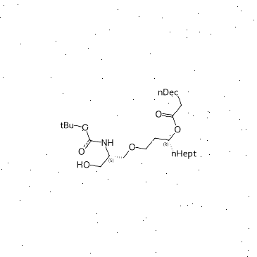 CCCCCCCCCCCC(=O)O[C@H](CCCCCCC)CCOC[C@H](CO)NC(=O)OC(C)(C)C